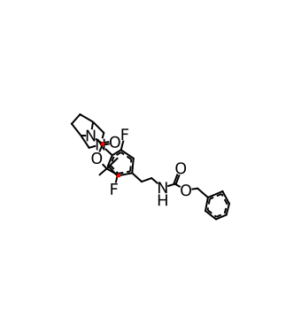 CC(C)(C)OC(=O)N1C2CCC1CN(c1cc(F)c(CCNC(=O)OCc3ccccc3)cc1F)C2